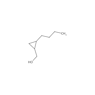 CCCCC1CC1CO